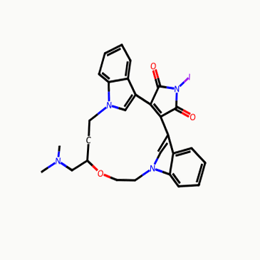 CN(C)CC1CCn2cc(c3ccccc32)C2=C(C(=O)N(I)C2=O)c2cn(c3ccccc23)CCO1